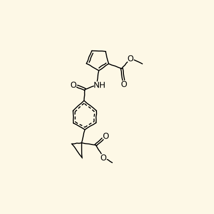 COC(=O)C1=C(NC(=O)c2ccc(C3(C(=O)OC)CC3)cc2)C=CC1